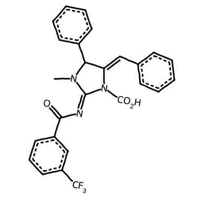 CN1C(=NC(=O)c2cccc(C(F)(F)F)c2)N(C(=O)O)C(=Cc2ccccc2)C1c1ccccc1